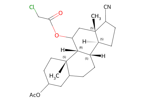 CC(=O)OC1CC[C@@]2(C)C(CC[C@@H]3[C@H]2C(OC(=O)CCl)C[C@]2(C)C(C#N)CC[C@@H]32)C1